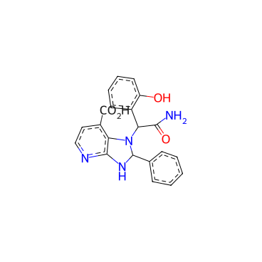 NC(=O)C(c1ccccc1O)N1c2c(C(=O)O)ccnc2NC1c1ccccc1